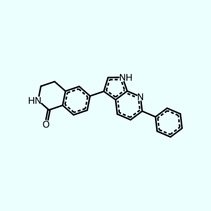 O=C1NCCc2cc(-c3c[nH]c4nc(-c5ccccc5)ccc34)ccc21